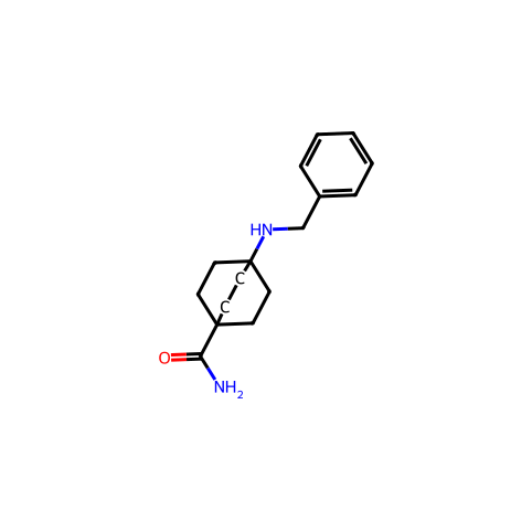 NC(=O)C12CCC(NCc3ccccc3)(CC1)CC2